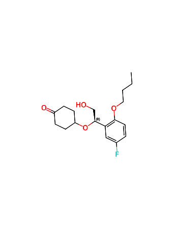 CCCCOc1ccc(F)cc1[C@H](CO)OC1CCC(=O)CC1